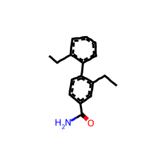 CCc1ccccc1-c1ccc(C(N)=O)cc1CC